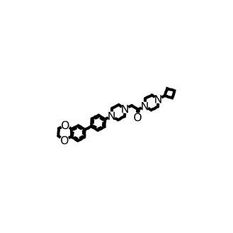 O=C(CN1CCN(c2ccc(-c3ccc4c(c3)OCCO4)cc2)CC1)N1CCN(C2CCC2)CC1